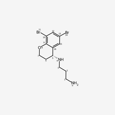 NCCCN[C@@H]1CCOc2c(Br)cc(Br)cc21